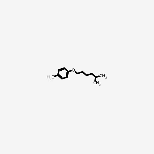 Cc1ccc(OCCCCC(C)C)cc1